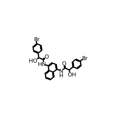 O=C(Nc1ccc(NC(=O)C(O)c2ccc(Br)cc2)c2ccccc12)C(O)c1ccc(Br)cc1